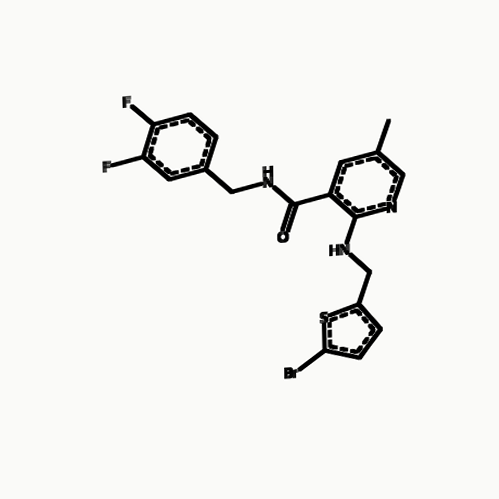 Cc1cnc(NCc2ccc(Br)s2)c(C(=O)NCc2ccc(F)c(F)c2)c1